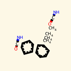 C.C.C.C.N=C=O.N=C=O.c1ccccc1.c1ccccc1